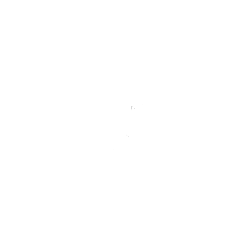 Cc1c(-c2ccc(Cl)cc2)nsc1NC(=O)[C@@H]1CC1C